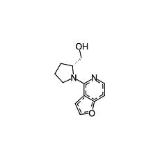 OC[C@H]1CCCN1c1nccc2occc12